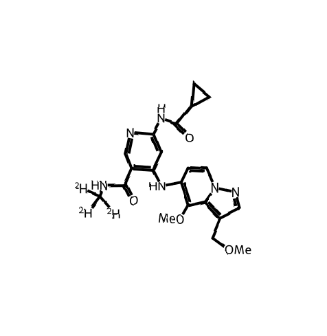 [2H]C([2H])([2H])NC(=O)c1cnc(NC(=O)C2CC2)cc1Nc1ccn2ncc(COC)c2c1OC